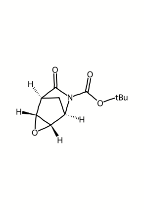 CC(C)(C)OC(=O)N1C(=O)[C@H]2C[C@@H]1[C@@H]1O[C@@H]12